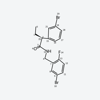 CC[C@H](C(=O)NCc1cc(Br)ccc1F)c1cccc(Br)c1